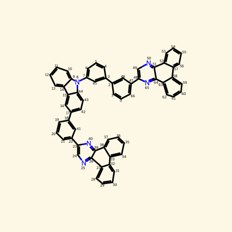 c1cc(-c2cccc(-n3c4ccccc4c4cc(-c5cccc(-c6cnc7c8ccccc8c8ccccc8c7n6)c5)ccc43)c2)cc(-c2cnc3c4ccccc4c4ccccc4c3n2)c1